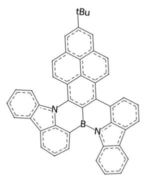 CC(C)(C)c1cc2ccc3c4c5c(c6ccc(c1)c2c36)-n1c2ccccc2c2cccc(c21)B5n1c2ccccc2c2cccc-4c21